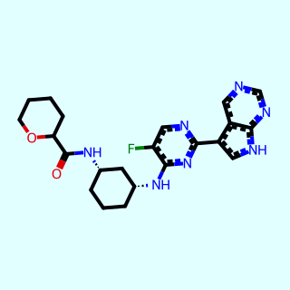 O=C(N[C@H]1CCC[C@@H](Nc2nc(-c3c[nH]c4ncncc34)ncc2F)C1)C1CCCCO1